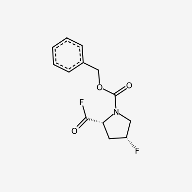 O=C(F)[C@H]1C[C@@H](F)CN1C(=O)OCc1ccccc1